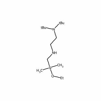 CCO[Si](C)(C)CNCCN(C(C)(C)C)C(C)(C)C